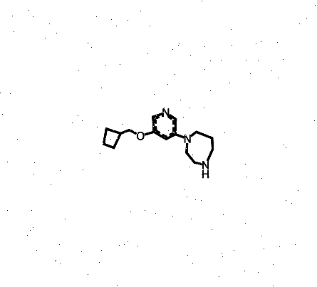 c1ncc(N2CCCNCC2)cc1OCC1CCC1